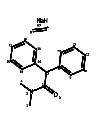 C=C.CN(C)C(=O)C(c1ccccc1)c1ccccc1.[NaH]